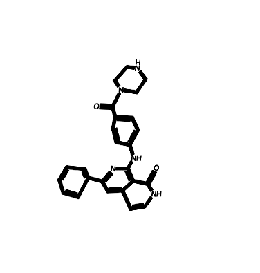 O=C(c1ccc(Nc2nc(-c3ccccc3)cc3cc[nH]c(=O)c23)cc1)N1CCNCC1